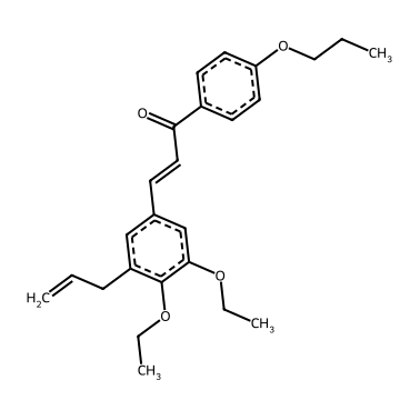 C=CCc1cc(/C=C/C(=O)c2ccc(OCCC)cc2)cc(OCC)c1OCC